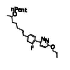 C=CCOc1ccc(-c2ccc(C=CCCCC(C)OCCCCC)cc2F)nn1